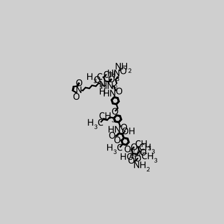 CO[C@@H]1[C@@H](OC(N)=O)[C@@H](O)[C@H](Oc2ccc3c(O)c(NC(=O)c4ccc(OCc5ccc(NC(=O)[C@H](CCCNC(N)=O)NC(=O)C(NC(=O)CCCCCN6C(=O)C=CC6=O)C(C)C)cc5)c(CC=C(C)C)c4)c(=O)oc3c2C)OC1(C)C